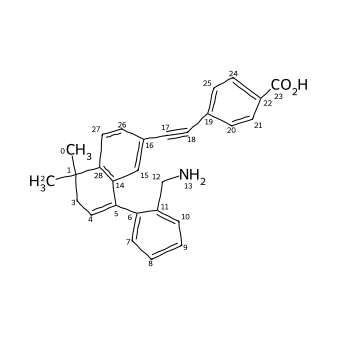 CC1(C)CC=C(c2ccccc2CN)c2cc(C#Cc3ccc(C(=O)O)cc3)ccc21